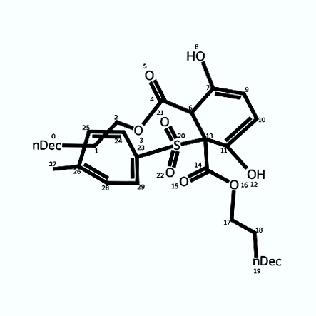 CCCCCCCCCCCCOC(=O)C1C(O)=CC=C(O)C1(C(=O)OCCCCCCCCCCCC)S(=O)(=O)c1ccc(C)cc1